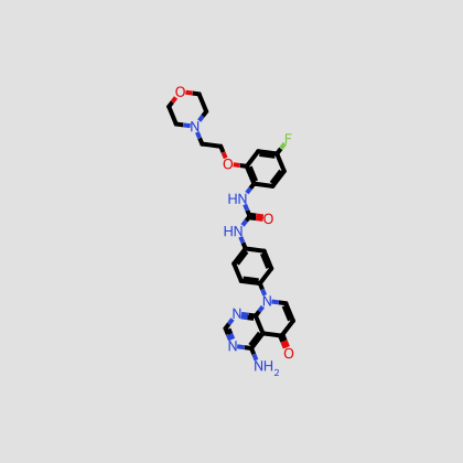 Nc1ncnc2c1c(=O)ccn2-c1ccc(NC(=O)Nc2ccc(F)cc2OCCN2CCOCC2)cc1